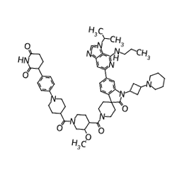 CCCNc1nc(-c2ccc3c(c2)N(C2CC(N4CCCCC4)C2)C(=O)C32CCN(C(=O)C3CCN(C(=O)C4CCN(c5ccc(C6CCC(=O)NC6=O)cc5)CC4)CC3OC)CC2)cc2ncn(C(C)C)c12